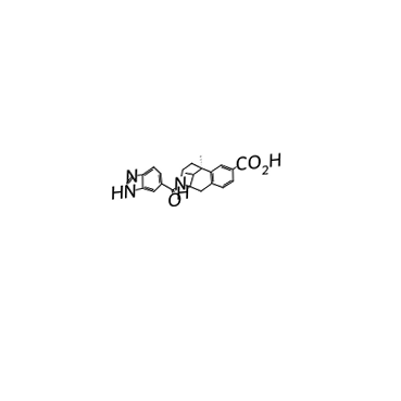 CC1[C@H]2Cc3ccc(C(=O)O)cc3[C@]1(C)CCN2C(=O)c1ccc2nc[nH]c2c1